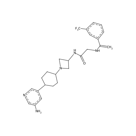 C=C(NCC(=O)NC1CN(C2CCC(c3cncc(N)c3)CC2)C1)c1cccc(C(F)(F)F)c1